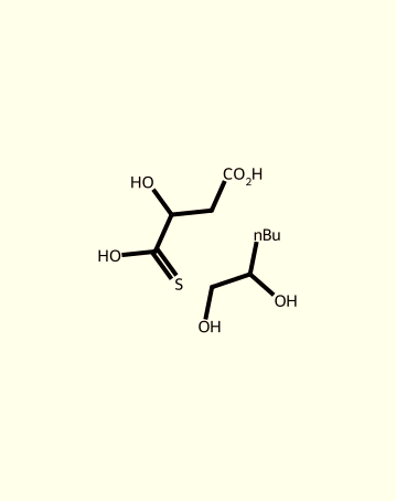 CCCCC(O)CO.O=C(O)CC(O)C(O)=S